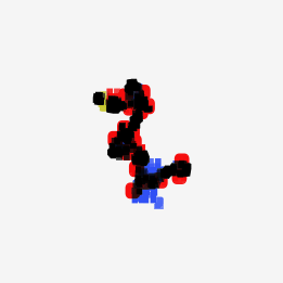 C=C1CC2C(O)N(C(=O)OCc3ccc(SSC(C)(C)C)cc3)c3cc(OCCCCCOc4cc5c(cc4OC)C(=O)N4CC(=C)C[C@H]4C(O)N5C(=O)OCc4ccc(NC(=O)[C@H](CCCNC(N)=O)NC(=O)[C@@H](NC(=O)CCCCCN5C(=O)C=CC5=O)C(C)C)cc4)c(OC)cc3C(=O)N2C1